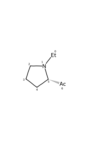 CCN1CCC[C@H]1C(C)=O